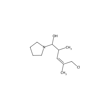 CC(=CC(C)C(O)N1CCCC1)CCl